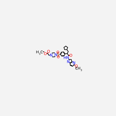 CCOC(=O)CN1CCN(S(=O)(=O)c2ccc(C(CC3CCCC3)C(=O)NC3=Nc4ccc(OC)nc4C3)cc2)CC1